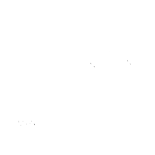 CNCCCc1c[nH]c(C)n1